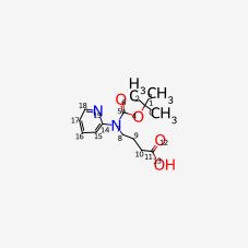 CC(C)(C)OC(=O)N(CCCC(=O)O)c1ccccn1